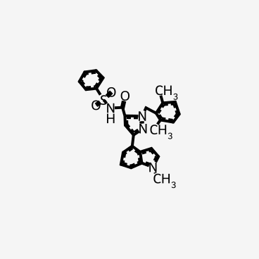 Cc1cccc(C)c1Cn1nc(-c2cccc3c2ccn3C)cc1C(=O)NS(=O)(=O)c1ccccc1